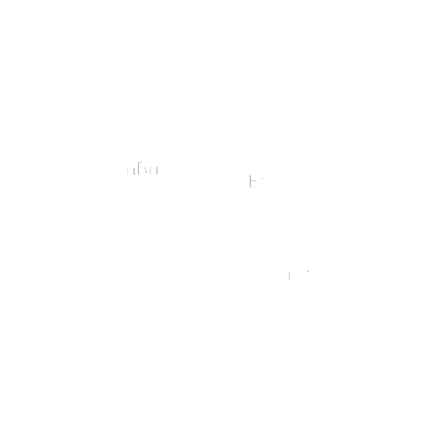 [CH2]CC/C=C(\CC)CCCC[CH2]